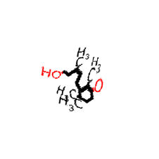 CC(C=CC1=C(C)C(=O)CCC1(C)C)=CCO